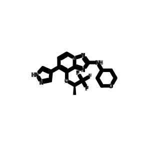 C[C@@H](Oc1c(-c2cn[nH]c2)ccn2nc(NC3CCOCC3)nc12)C(F)(F)F